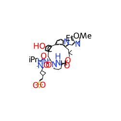 C/C=N\C(=C\c1c2c3cc(ccc3n1CC)-c1cc(O)cc(c1)C[C@H](NC(=O)[C@H](C(C)C)N(C)C(=O)C1CC(/C=C/S(C)(=O)=O)C1)C(=O)N1CCC[C@H](N1)C(=O)OCC(C)(C)C2)[C@H](C)OC